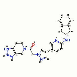 O=C(Cn1cc(-c2ccc(NC3Cc4ccccc4C3)nc2)cn1)N1CCc2[nH]nnc2C1